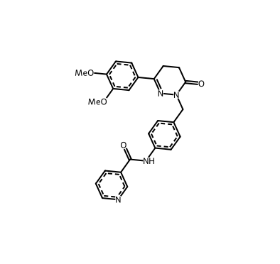 COc1ccc(C2=NN(Cc3ccc(NC(=O)c4cccnc4)cc3)C(=O)CC2)cc1OC